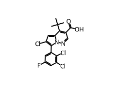 CC(C)(C)c1c(C(=O)O)cnn2c(-c3cc(F)cc(Cl)c3Cl)c(Cl)cc12